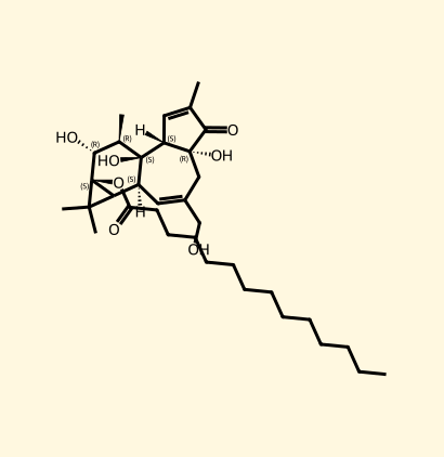 CCCCCCCCCCCCCC(=O)O[C@]12C([C@@H]3C=C(CO)C[C@]4(O)C(=O)C(C)=C[C@H]4[C@@]3(O)[C@H](C)[C@H]1O)C2(C)C